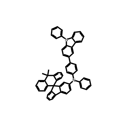 CC1(C)c2ccccc2C2(c3ccccc3-c3ccc(N(c4ccccc4)c4ccc(-c5ccc6c(c5)c5ccccc5n6-c5ccccc5)cc4)cc32)c2ccccc21